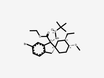 CCOC(=O)[C@]1(N[S@@+]([O-])C(C)(C)C)c2cc(Br)ccc2C[C@]12CC[C@@H](OC)[C@H](CC)C2